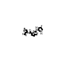 Cn1cc(NC(=O)c2ccc3cnc(N[C@H]4CNC[C@@H](F)C4)nn23)c(C(F)F)n1